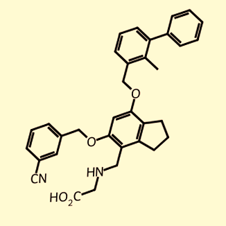 Cc1c(COc2cc(OCc3cccc(C#N)c3)c(CNCC(=O)O)c3c2CCC3)cccc1-c1ccccc1